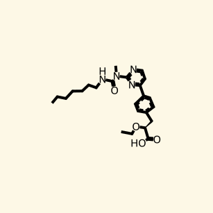 CCCCCCCNC(=O)N(C)c1nccc(-c2ccc(C[C@H](OCC)C(=O)O)cc2)n1